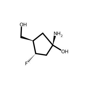 N[C@]1(O)C[C@H](CO)[C@@H](F)C1